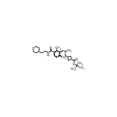 C=c1ccc(C(=O)NCCN2CCOCC2)c(C)/c1=C/N(C)CC1CN(C(=O)OC(C)(C)C)C1